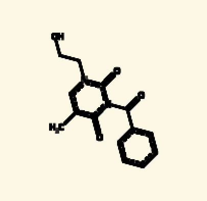 Cc1cn(CCO)c(=O)n(C(=O)c2ccccc2)c1=O